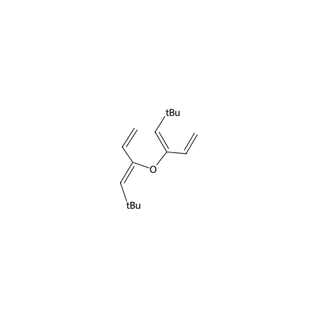 C=CC(=CC(C)(C)C)OC(C=C)=CC(C)(C)C